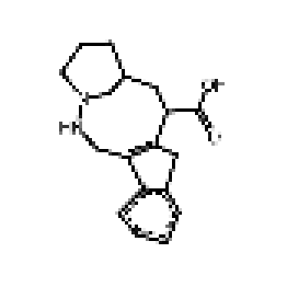 O=C(O)C1CC2CCCN(C2)NCC2=C1Cc1ccccc12